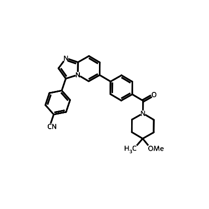 COC1(C)CCN(C(=O)c2ccc(-c3ccc4ncc(-c5ccc(C#N)cc5)n4c3)cc2)CC1